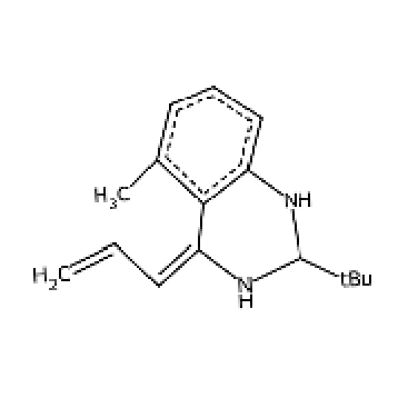 C=C/C=C1/NC(C(C)(C)C)Nc2cccc(C)c21